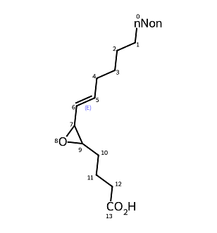 CCCCCCCCCCCCC/C=C/C1OC1CCCC(=O)O